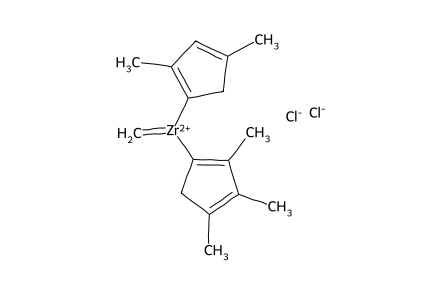 [CH2]=[Zr+2]([C]1=C(C)C=C(C)C1)[C]1=C(C)C(C)=C(C)C1.[Cl-].[Cl-]